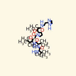 CC[C@H](C)[C@@H]([C@@H](CC(=O)N1CCCC1[C@H](OC)[C@@H](C)C(=O)NCCc1ncc[nH]1)OC)N(C)C(=O)C(NC(=O)C(NC)C(C)C)C(C)C